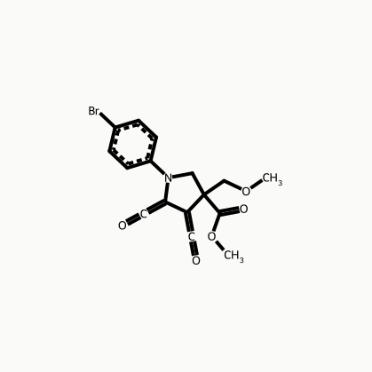 COCC1(C(=O)OC)CN(c2ccc(Br)cc2)C(=C=O)C1=C=O